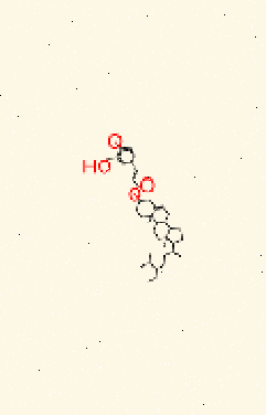 CCC(CCC(C)C1CCC2C3CC=C4CC(OC(=O)/C=C/c5ccc(OC)c(CO)c5)CCC4(C)C3CCC12C)C(C)C